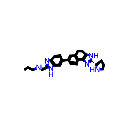 CCCNCc1nc2ccc(-c3ccc4c(c3)CCc3[nH]c([C@@H]5CCCN5)nc3-4)cc2[nH]1